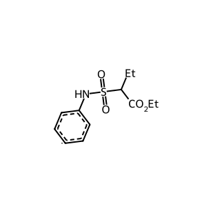 CCOC(=O)C(CC)S(=O)(=O)Nc1cc[c]cc1